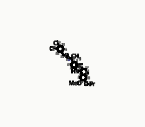 COc1cc2c(Nc3ccc(/C(C)=N/OCc4ccc(Cl)c(Cl)c4)cc3)c(C#N)cnc2cc1OC(C)C